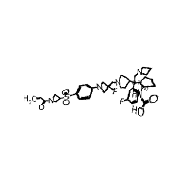 C=CC(=O)N1CC(S(=O)(=O)c2ccc(N3CC(F)(CN4CCC([C@@](CN5CCC5)(c5cccc(F)c5)[C@H]5CCC[C@@H]5NC(=O)O)CC4)C3)cc2)C1